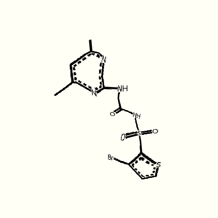 Cc1cc(C)nc(NC(=O)NS(=O)(=O)c2sccc2Br)n1